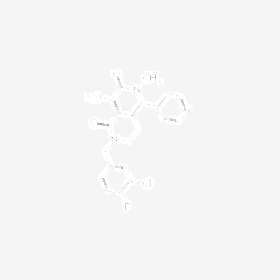 Cn1c(-c2ccncc2)c2c(c(O)c1=O)C(=O)N(Cc1ccc(F)c(Cl)c1)CC2